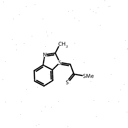 CSC(=S)C=S1C(C)=Nc2ccccc21